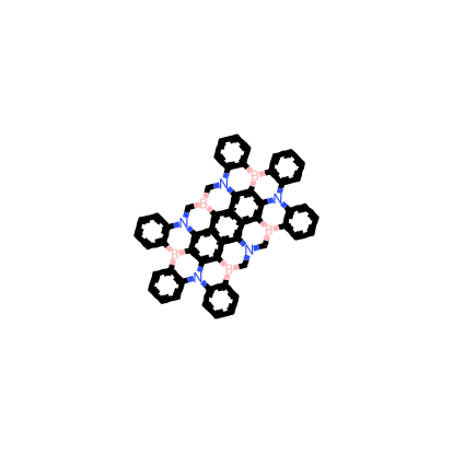 c1ccc2c(c1)B1c3ccccc3N3c4ccccc4B4CN5CB6c7ccccc7N7c8ccccc8B8c9ccccc9N9CB%10CN2c2c1c3c4c1c5c3c6c7c8c9c3c%10c21